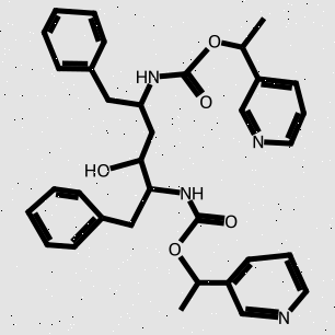 CC(OC(=O)NC(Cc1ccccc1)CC(O)C(Cc1ccccc1)NC(=O)OC(C)c1cccnc1)c1cccnc1